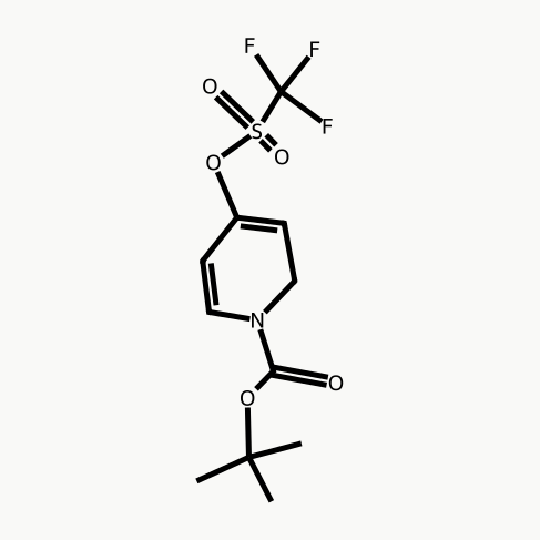 CC(C)(C)OC(=O)N1C=CC(OS(=O)(=O)C(F)(F)F)=CC1